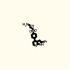 CC(C)c1cc2c(-c3ccc(S(=O)(=O)NCCN)cc3)ccnc2[nH]1